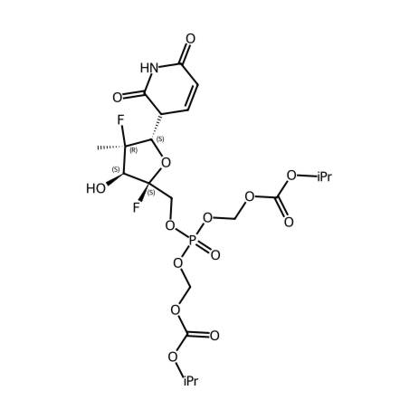 CC(C)OC(=O)OCOP(=O)(OCOC(=O)OC(C)C)OC[C@@]1(F)O[C@@H](C2C=CC(=O)NC2=O)[C@](C)(F)[C@@H]1O